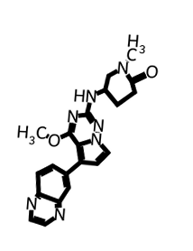 COc1nc(NC2CCC(=O)N(C)C2)nn2ccc(-c3ccc4nccnc4c3)c12